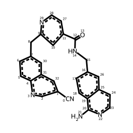 N#Cc1cnc2ccc(Cc3cc(C(=O)NCc4ccc5c(N)nccc5c4)ccn3)cc2c1